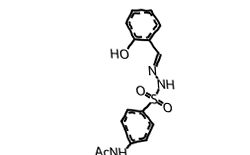 CC(=O)Nc1ccc(S(=O)(=O)NN=Cc2ccccc2O)cc1